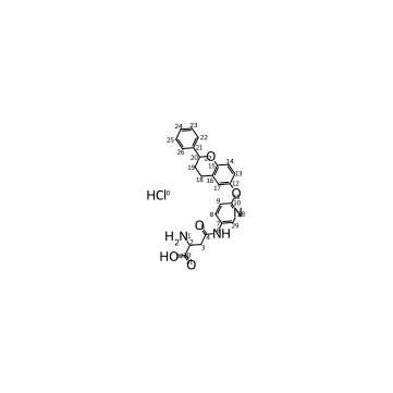 Cl.NC(CC(=O)Nc1ccc(Oc2ccc3c(c2)CCC(c2ccccc2)O3)nc1)C(=O)O